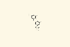 CNS(=O)(=O)c1ccc(Oc2c(C)cc(F)cc2C)c(C)c1